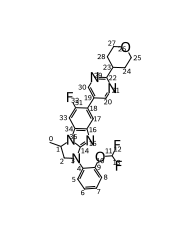 CC1CN(c2ccccc2OC(F)F)c2nc3cc(-c4cnc(C5CCOCC5)nc4)c(F)cc3n21